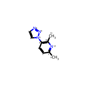 Cc1ccc(-n2ccnn2)c(C)n1